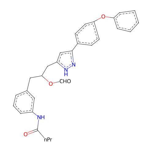 CCCC(=O)Nc1cccc(CC(Cc2cc(-c3ccc(Oc4ccccc4)cc3)n[nH]2)OC=O)c1